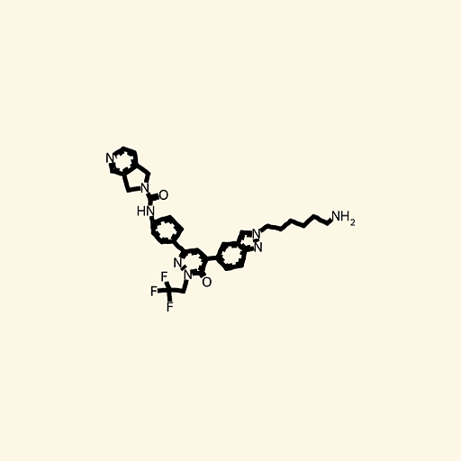 NCCCCCCn1cc2cc(-c3cc(-c4ccc(NC(=O)N5Cc6ccncc6C5)cc4)nn(CC(F)(F)F)c3=O)ccc2n1